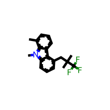 Cc1cccc2c3c(CC(C)(C)C(F)(F)F)cccc3n(C)c12